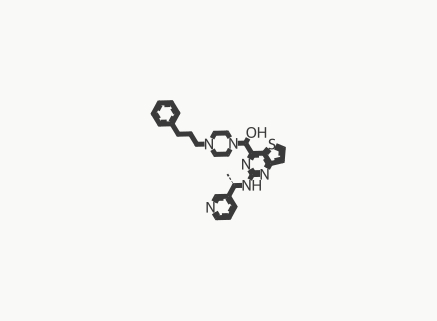 C[C@H](Nc1nc(C(O)N2CCN(CCCc3ccccc3)CC2)c2sccc2n1)c1cccnc1